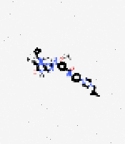 CCC1C(=O)N(C)c2cnc(Nc3ccc(C(=O)N[C@H]4CC[C@H](N5CCN(CC6CC6)CC5)CC4)cc3OC)nc2N1N(C)CC1CCC1